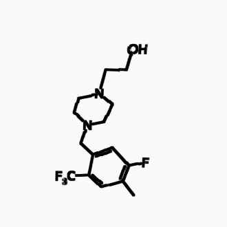 Cc1cc(C(F)(F)F)c(CN2CCN(CCO)CC2)cc1F